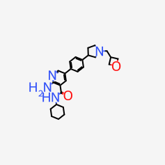 Nc1ncc(-c2ccc(C3CCN(CC4COC4)C3)cc2)cc1C(=O)NC1CCCCC1